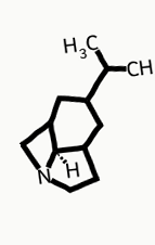 CC(C)C1CC2CCN3CC(C1)[C@@H]23